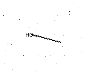 CCCCCCCCCCCCCCCCCC/C=C/CCO